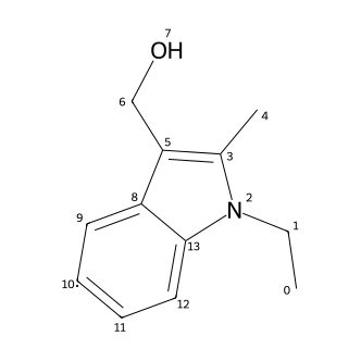 CCn1c(C)c(CO)c2c[c]ccc21